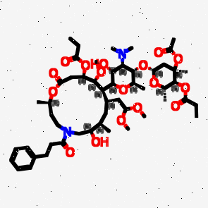 CCC(=O)O[C@@H]1CC(=O)O[C@H](C)CCN(C(=O)CCc2ccccc2)C[C@H](O)[C@H](C)C[C@H](CC(OC)OC)[C@H]([C@@H]2O[C@H](C)[C@@H](O[C@@H]3C[C@@](C)(OC(C)=O)[C@@H](OC(=O)CC)[C@H](C)O3)[C@H](N(C)C)[C@H]2O)[C@@H]1OC